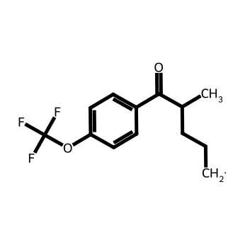 [CH2]CCC(C)C(=O)c1ccc(OC(F)(F)F)cc1